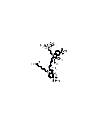 CO[Si](CCCN1/C(=C/C=C/C=C/C2=[N+](CCCCCC(=O)O)c3ccc(S(=O)(=O)O)cc3C2(C)C)C(C)(C)c2cc(S(=O)(=O)O)ccc21)(OC)OC